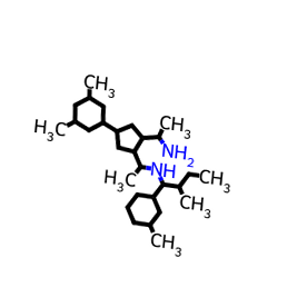 CCC(C)C(NC(C)C1CC(C2CC(C)CC(C)C2)CC1C(C)N)C1CCCC(C)C1